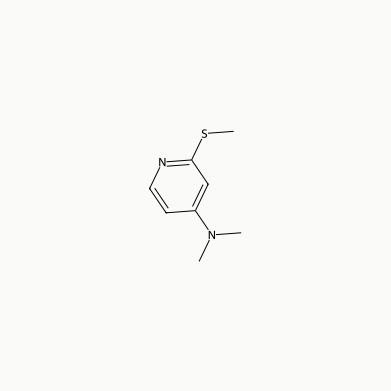 CSc1cc(N(C)C)ccn1